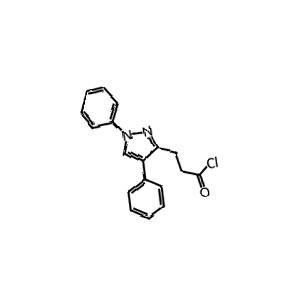 O=C(Cl)CCc1nn(-c2ccccc2)cc1-c1ccccc1